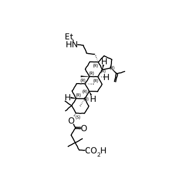 C=C(C)[C@@H]1CC[C@]2(CCCNCC)CC[C@]3(C)[C@H](CC[C@@H]4[C@@]5(C)CC[C@H](OC(=O)CC(C)(C)CC(=O)O)C(C)(C)[C@@H]5CC[C@]43C)[C@@H]12